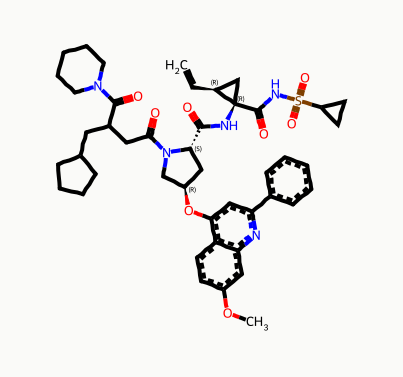 C=C[C@H]1C[C@]1(NC(=O)[C@@H]1C[C@@H](Oc2cc(-c3ccccc3)nc3cc(OC)ccc23)CN1C(=O)CC(CC1CCCC1)C(=O)N1CCCCC1)C(=O)NS(=O)(=O)C1CC1